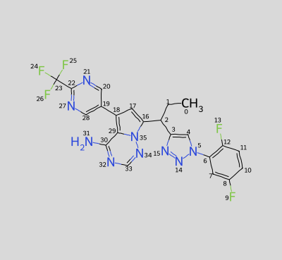 CCC(c1cn(-c2cc(F)ccc2F)nn1)c1cc(-c2cnc(C(F)(F)F)nc2)c2c(N)ncnn12